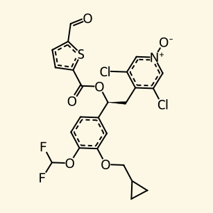 O=Cc1ccc(C(=O)O[C@@H](Cc2c(Cl)c[n+]([O-])cc2Cl)c2ccc(OC(F)F)c(OCC3CC3)c2)s1